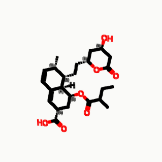 CCC(C)C(=O)O[C@H]1C[C@H](C(=O)O)C=C2C=C[C@H](C)[C@H](CC[C@@H]3C[C@@H](O)CC(=O)O3)[C@H]21